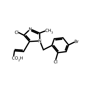 Cc1nc(Cl)c(/C=C/C(=O)O)n1Cc1ccc(Br)cc1Cl